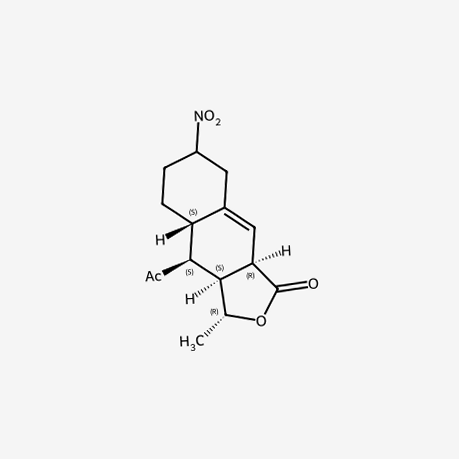 CC(=O)[C@@H]1[C@@H]2[C@@H](C)OC(=O)[C@@H]2C=C2CC([N+](=O)[O-])CC[C@H]21